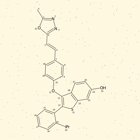 Cc1nnc(C=Cc2ccc(Oc3c(-c4ccccc4C(C)C)sc4cc(O)ccc34)cc2)o1